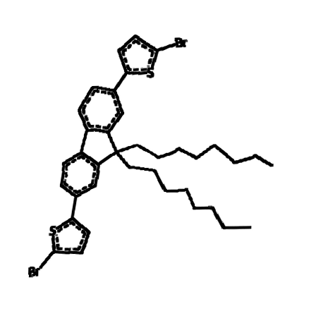 CCCCCCCCC1(CCCCCCCC)c2cc(-c3ccc(Br)s3)ccc2-c2ccc(-c3ccc(Br)s3)cc21